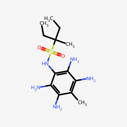 CCC(C)(CC)S(=O)(=O)Nc1c(N)c(N)c(C)c(N)c1N